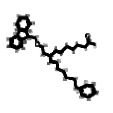 CC(=O)CCCCCCC(CCCCCCCc1ccccc1)CCOCC1c2ccccc2-c2ccccc21